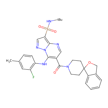 Cc1ccc(Nc2c(C(=O)N3CCC4(CC3)OCc3ccccc34)cnc3c(S(=O)(=O)NC(C)(C)C)cnn23)c(F)c1